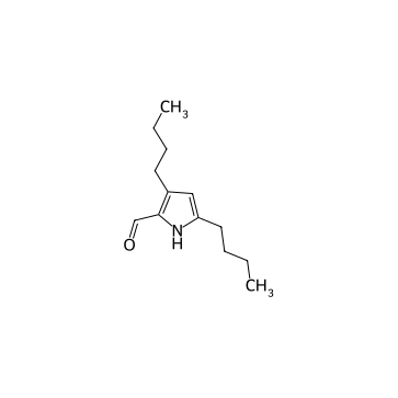 CCCCc1cc(CCCC)c(C=O)[nH]1